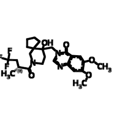 COc1cc2ncn(CC3(O)CCN(C(=O)[C@H](C)CC(F)(F)F)CC34CCCC4)c(=O)c2cc1OC